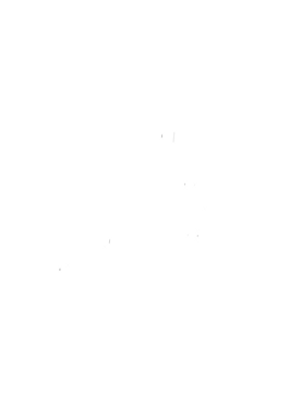 CC(=O)Oc1cc(OC=O)ccc1O